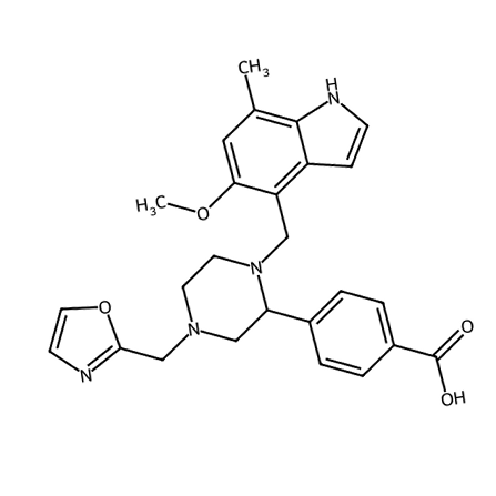 COc1cc(C)c2[nH]ccc2c1CN1CCN(Cc2ncco2)CC1c1ccc(C(=O)O)cc1